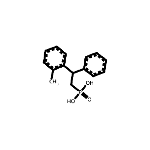 Cc1ccccc1C(CP(=O)(O)O)c1ccccc1